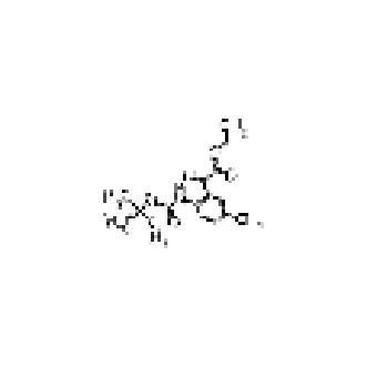 CCOC(=O)C(=O)c1cc(C)ccc1NC(=O)OC(C)(C)C